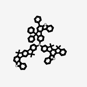 CC1(C)c2cc(N(c3ccc4c(c3)C(C)(C)c3c5c(c6oc7ccccc7c6c3-4)-c3ccccc3C5(C)C)c3ccc4c(c3)C(c3ccccc3)(c3ccccc3)c3cc(-c5ccccc5)c5oc6ccccc6c5c3-4)ccc2-c2cc3c(cc21)-c1c(ccc2oc4ccccc4c12)C3(C)C